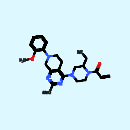 C=CC(=O)N1CCN(c2nc(OC)nc3c2CCN(c2ccccc2OC(F)(F)F)C3)CC1CC#N